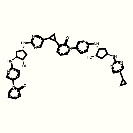 O=c1ccccn1-c1ccc(N[C@H]2C[C@H](Nc3ncc(C4CC4c4cccn(-c5ccc(N[C@@H]6C[C@@H](Nc7ncc(C8CC8)cn7)C[C@@H]6O)nc5)c4=O)cn3)C[C@H]2O)nc1